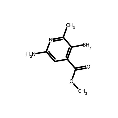 Bc1c(C(=O)OC)cc(N)nc1C